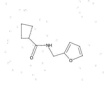 O=C(NCc1ccco1)C1CCC1